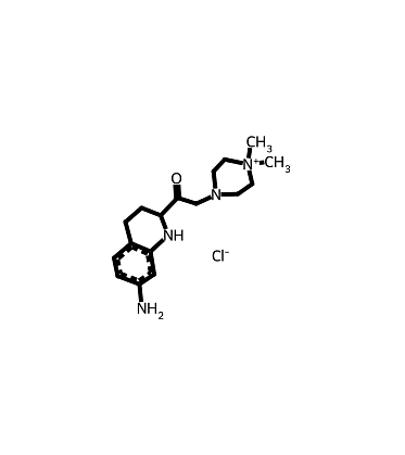 C[N+]1(C)CCN(CC(=O)C2CCc3ccc(N)cc3N2)CC1.[Cl-]